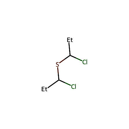 CCC(Cl)SC(Cl)CC